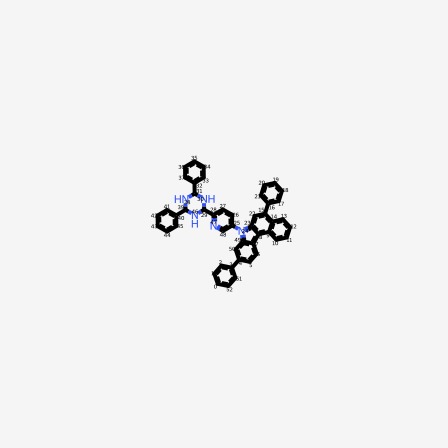 c1ccc(-c2ccc3c4c5ccccc5c(-c5ccccc5)cc4n(-c4ccc(C5NC(c6ccccc6)NC(c6ccccc6)N5)nc4)c3c2)cc1